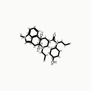 CCCN(C(=O)[C@@H]1C[C@H]2c3cccc4c3c(cn4C)C[C@H]2N(CCC)C1)C1CCC(O)CC1